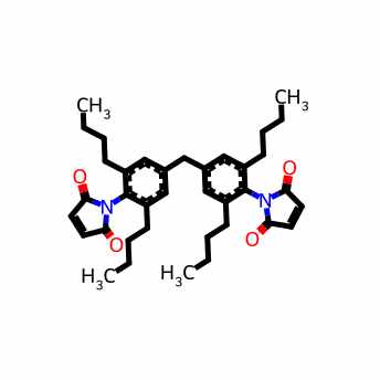 CCCCc1cc(Cc2cc(CCCC)c(N3C(=O)C=CC3=O)c(CCCC)c2)cc(CCCC)c1N1C(=O)C=CC1=O